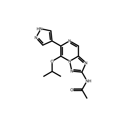 CC(=O)Nc1nc2cnc(-c3cn[nH]c3)c(OC(C)C)n2n1